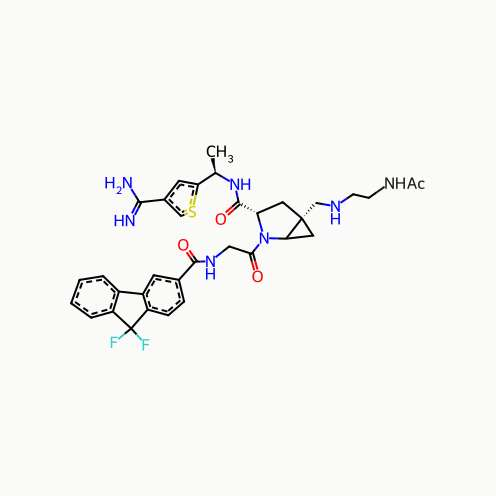 CC(=O)NCCNC[C@]12CC1N(C(=O)CNC(=O)c1ccc3c(c1)-c1ccccc1C3(F)F)[C@H](C(=O)N[C@H](C)c1cc(C(=N)N)cs1)C2